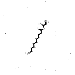 C=CC(S)OC(=O)CCCCCCCCCC